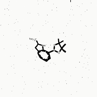 CCOC(=O)C1Cc2cccc(B3OC(C)(C)C(C)(C)O3)c2N1